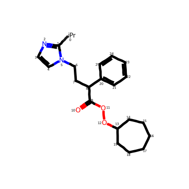 CC(C)c1nccn1CCC(C(=O)OOC1CCCCCC1)c1ccccc1